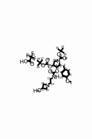 COc1ccc(C[C@@H]2[C@H](OC(=O)NCCN3CC(O)C3)[C@@H](OC(=O)OC(C)(C)C)CN2C(=O)OC(C)(C)C)cc1.O=C(O)C(F)(F)F